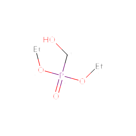 CCOP(=O)([CH]O)OCC